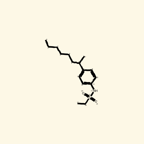 CCCCCCC(C)c1ccc(NS(=O)(=O)CC)cc1